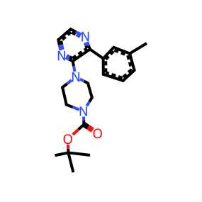 Cc1cccc(-c2nccnc2N2CCN(C(=O)OC(C)(C)C)CC2)c1